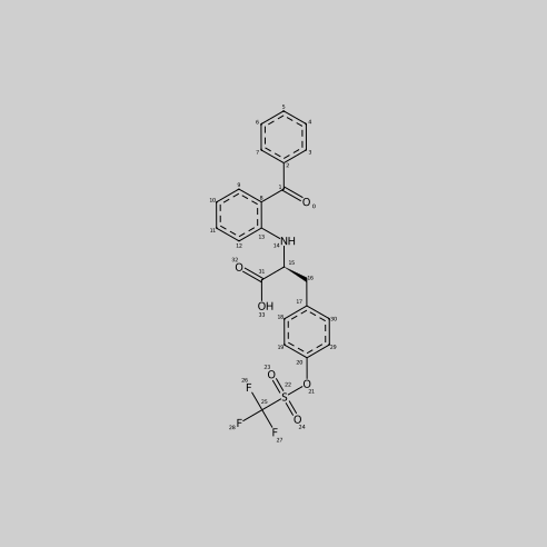 O=C(c1ccccc1)c1ccccc1N[C@@H](Cc1ccc(OS(=O)(=O)C(F)(F)F)cc1)C(=O)O